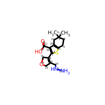 CC1(C)CCc2sc(C3=C(CNN)COC3)c(C(=O)O)c2C1